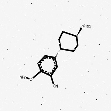 CCCCCC[C@H]1CC[C@H](c2ccc(OCCC)c(C#N)c2)CC1